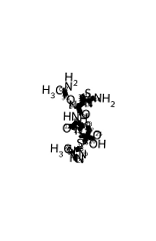 CC(N)CON=C(C(=O)NC1C(=O)N2CC(CSc3nnnn3C)(C(=O)O)CS[C@H]12)c1csc(N)n1